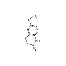 COc1ccc2c(c1)SCC(=O)N2